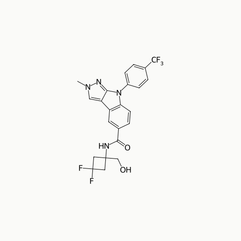 Cn1cc2c3cc(C(=O)NC4(CO)CC(F)(F)C4)ccc3n(-c3ccc(C(F)(F)F)cc3)c2n1